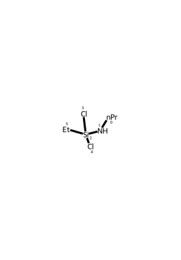 CCCN[Si](Cl)(Cl)CC